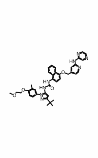 COCCOc1ccc(-n2nc(C(C)(C)C)cc2NC(=O)Nc2ccc(OCc3ccnc(Nc4cnccn4)c3)c3ccccc23)cc1C